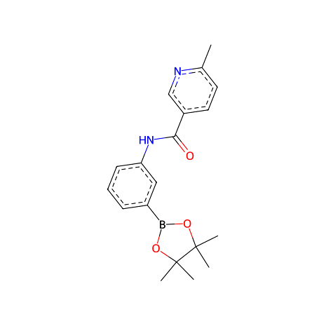 Cc1ccc(C(=O)Nc2cccc(B3OC(C)(C)C(C)(C)O3)c2)cn1